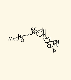 CON(C)C(=O)CCCCN(C(=O)O)[C@H]1CC[C@H](Nc2ncc(Cl)c(-c3cnn(C)c3CC3CC3)n2)CC1